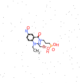 [CH2]CN(CCBr)c1ccc(N=O)cc1C(=O)NCCCP(=O)(O)O